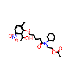 CC(=O)OCCN(C(=O)CCCCOc1c(C)ccc([N+](=O)[O-])c1C(C)O)C1CCCCC1